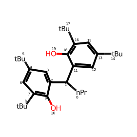 CCCC(c1cc(C(C)(C)C)cc(C(C)(C)C)c1O)c1cc(C(C)(C)C)cc(C(C)(C)C)c1O